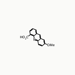 COc1ccc2nc3c(C(=O)O)cccc3cc2c1